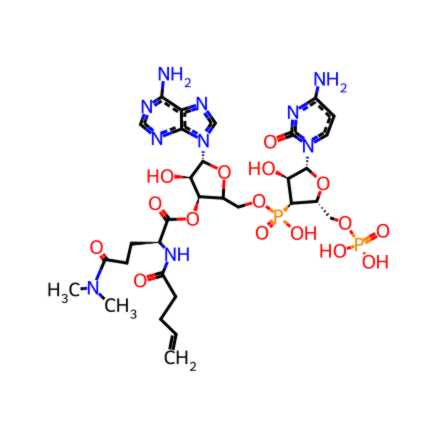 C=CCCC(=O)N[C@@H](CCC(=O)N(C)C)C(=O)O[C@@H]1C(COP(=O)(O)[C@H]2[C@@H](O)[C@H](n3ccc(N)nc3=O)O[C@@H]2COP(=O)(O)O)O[C@@H](n2cnc3c(N)ncnc32)[C@@H]1O